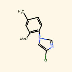 COc1cc(C)ccc1-n1cnc(Cl)c1